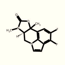 CN1C(=O)OC2(C)c3cc(F)c(F)c4ccn(c34)C[C@@H]12